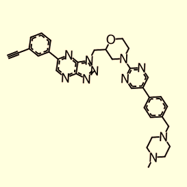 C#Cc1cccc(-c2cnc3nnn(CC4CN(c5ncc(-c6ccc(CN7CCN(C)CC7)cc6)cn5)CCO4)c3n2)c1